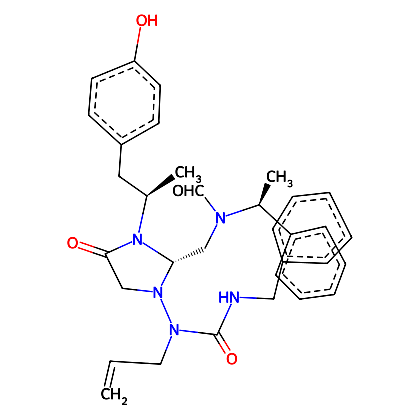 C=CCN(C(=O)NCc1ccccc1)N1CC(=O)N([C@H](C)Cc2ccc(O)cc2)[C@@H]1CN(C=O)[C@@H](C)c1ccccc1